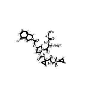 CCCCCCC[C@H](NC(=O)OC(C)(C)C)C(=O)N1C[C@H](OC(=O)N2Cc3cccc(F)c3C2)C[C@H]1C(=O)NC1(C(=O)NS(=O)(=O)C2CC2)CC1